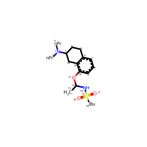 CCCN(CCC)C1CCc2cccc(OC(C)NS(=O)(=O)C(C)CC)c2C1